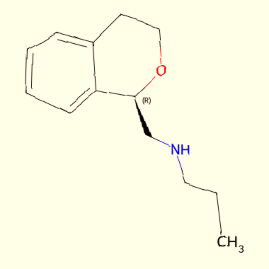 CCCNC[C@@H]1OCCc2ccccc21